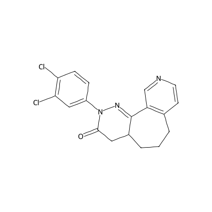 O=C1CC2CCCc3ccncc3C2=NN1c1ccc(Cl)c(Cl)c1